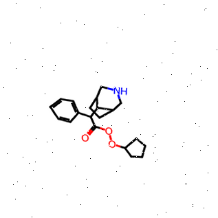 O=C(OOC1CCCC1)C(c1ccccc1)C1C2CCC1CNC2